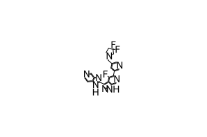 Fc1c(-c2cncc(CN3CCC(F)(F)C3)c2)ncc2[nH]nc(-c3nc4cnccc4[nH]3)c12